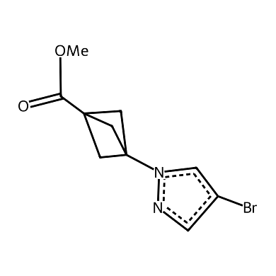 COC(=O)C12CC(n3cc(Br)cn3)(C1)C2